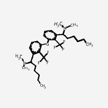 CCCCCC(c1cccc(Oc2cccc(C(CCCCC)N(C)C)c2C(F)(F)F)c1C(F)(F)F)N(C)C